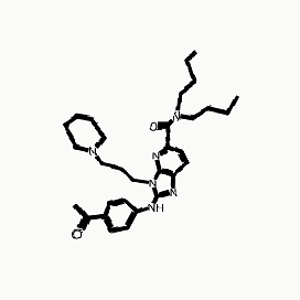 CCCCN(CCCC)C(=O)c1ccc2nc(Nc3ccc(C(C)=O)cc3)n(CCCN3CCCCC3)c2n1